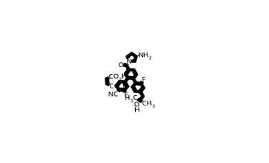 CC(C)(O)Cc1ccc(-c2ccc(C(=O)N3CC[C@H](N)C3)cc2-c2ccc(C#N)c(F)c2)c(F)c1.O=C(O)/C=C\C(=O)O